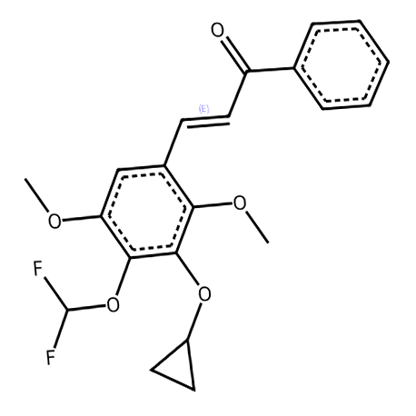 COc1cc(/C=C/C(=O)c2ccccc2)c(OC)c(OC2CC2)c1OC(F)F